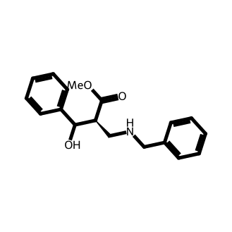 COC(=O)[C@@H](CNCc1ccccc1)C(O)c1ccccc1